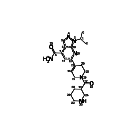 CC(C)n1ncc2c(C(N)=O)cc(C3=CCN(C(=O)C4CCCNC4)CC3)nc21